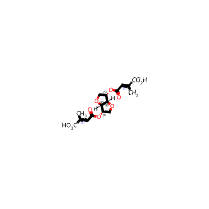 C/C(=C\C(=O)O[C@H]1CO[C@H]2[C@@H]1OC[C@H]2OC(=O)/C=C(\C)C(=O)O)C(=O)O